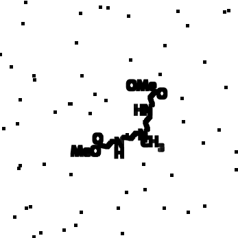 COC(=O)CCNCCCN(C)CCCNCCC(=O)OC